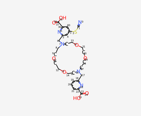 N#CSc1cc(CN2CCOCCOCCN(Cc3cccc(C(=O)O)n3)CCOCCOCC2)nc(C(=O)O)c1